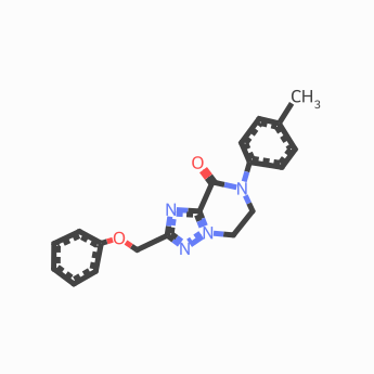 Cc1ccc(N2CCn3nc(COc4ccccc4)nc3C2=O)cc1